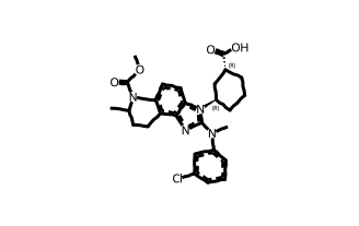 COC(=O)N1c2ccc3c(nc(N(C)c4cccc(Cl)c4)n3[C@@H]3CCC[C@@H](C(=O)O)C3)c2CCC1C